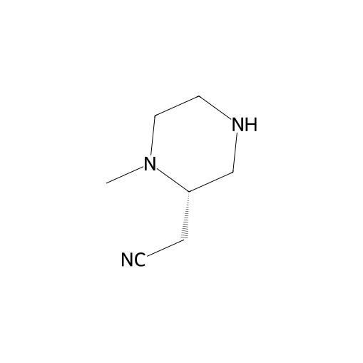 CN1CCNC[C@@H]1CC#N